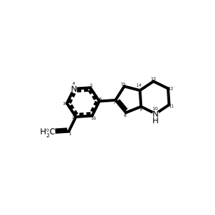 C=Cc1cncc(C2=CC3NCCCC3C2)c1